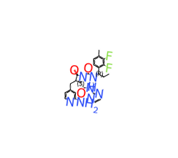 CC[C@@H](NC(=O)N1C(=O)C(Cc2ccnc(N)c2)[C@H]1C(=O)N(C)c1nccn1C)c1ccc(C)c(F)c1F